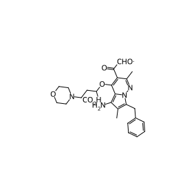 Cc1nn2c(Cc3ccccc3)c(C)c(N)c2c(OC(CCN2CCOCC2)C(=O)O)c1C(=O)[C]=O